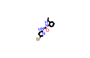 CCc1ccccc1NC(=O)Nc1ccc(Br)cn1